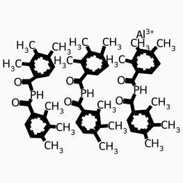 Cc1ccc(C(=O)PC(=O)c2ccc(C)c(C)c2C)c(C)c1C.Cc1ccc(C(=O)PC(=O)c2ccc(C)c(C)c2C)c(C)c1C.Cc1ccc(C(=O)PC(=O)c2ccc(C)c(C)c2C)c(C)c1C.[Al+3]